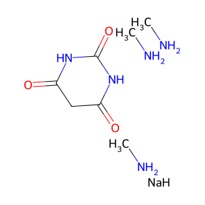 CN.CN.CN.O=C1CC(=O)NC(=O)N1.[NaH]